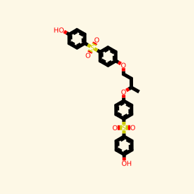 CC(CCOc1ccc(S(=O)(=O)c2ccc(O)cc2)cc1)Oc1ccc(S(=O)(=O)c2ccc(O)cc2)cc1